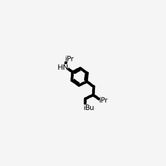 CCC(C)CC(Cc1ccc(NC(C)C)cc1)C(C)C